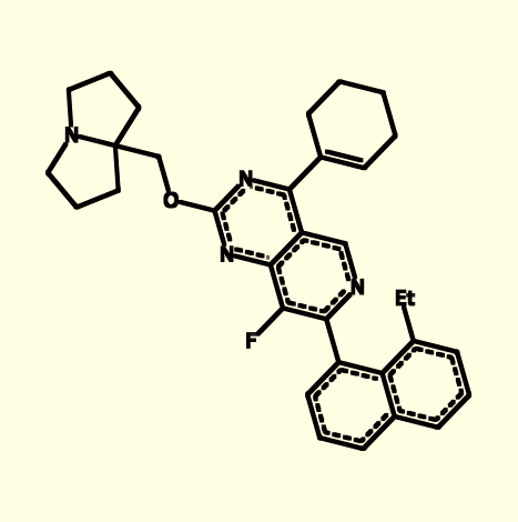 CCc1cccc2cccc(-c3ncc4c(C5=CCCCC5)nc(OCC56CCCN5CCC6)nc4c3F)c12